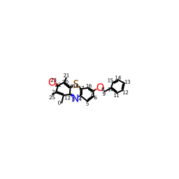 Cc1c2nc3ccc(OCc4ccccc4)cc3sc-2c(C)c(=O)c1C